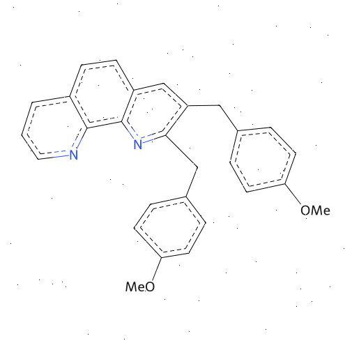 COc1ccc(Cc2cc3ccc4cccnc4c3nc2Cc2ccc(OC)cc2)cc1